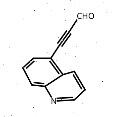 O=CC#Cc1cccc2ncccc12